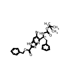 CC(C)(C)OC(=O)N[C@@H](Cc1ccccc1)c1nc2nc(C(=O)OCc3ccccc3)[nH]c2cc1Br